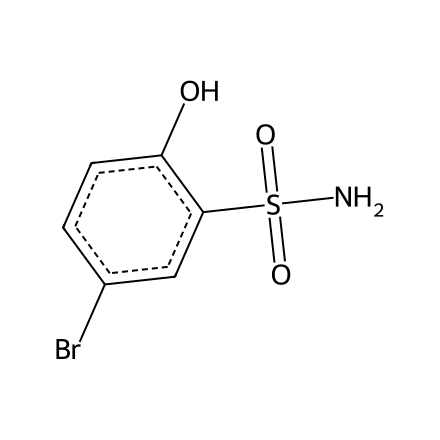 NS(=O)(=O)c1cc(Br)ccc1O